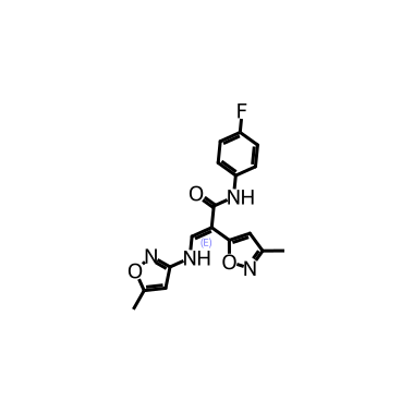 Cc1cc(/C(=C\Nc2cc(C)on2)C(=O)Nc2ccc(F)cc2)on1